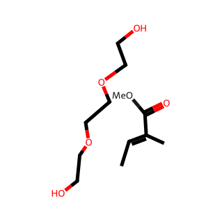 CC=C(C)C(=O)OC.OCCOCCOCCO